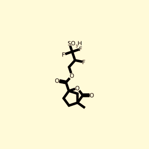 CC12CCC(C(=O)OCC(F)C(F)(F)S(=O)(=O)O)(C1)OC2=O